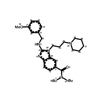 CCCCN(CCCC)C(=O)c1ccc2nc(NCc3cccc(OC)c3)n(CCCN3CCCCC3)c2c1